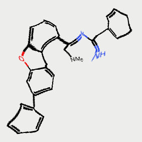 CN/C(=N\C(=N)C1=CCCC=C1)c1cccc2oc3cc(-c4ccccc4)ccc3c12